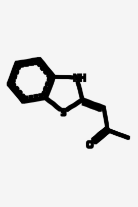 CC(=O)/C=C1/Nc2ccccc2S1